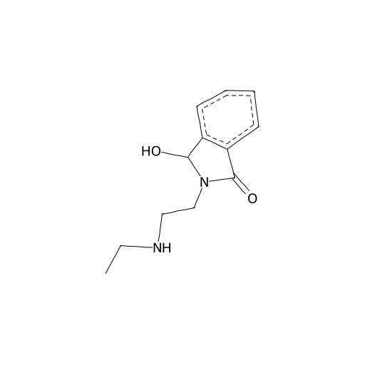 CCNCCN1C(=O)c2ccccc2C1O